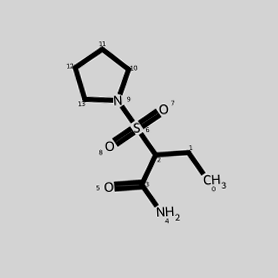 CCC(C(N)=O)S(=O)(=O)N1CCCC1